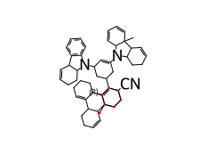 CC1CCCC(C2CC(N3C4CCC=CC4C4(C)C=CC=CC34)=CC(N3c4ccccc4C4C=CCCC43)C2)=C1[C@@H]1CCCC=C1C1CCC=CC1C1CCC(C#N)CC1